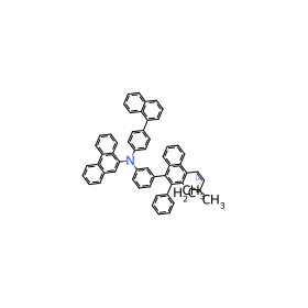 C=C(C)/C=C\c1c(C)c(-c2ccccc2)c(-c2cccc(N(c3ccc(-c4cccc5ccccc45)cc3)c3cc4ccccc4c4ccccc34)c2)c2ccccc12